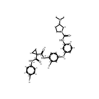 CN(C)C1CCN(C(=O)Nc2cc(Oc3ccc(NC(=O)C4(C(=O)Nc5ccc(F)cc5)CC4)c(F)c3)ccn2)C1